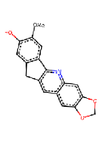 COc1cc2c(cc1O)Cc1cc3cc4c(cc3nc1-2)OCO4